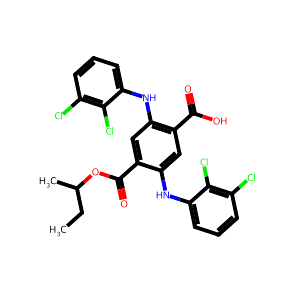 CCC(C)OC(=O)c1cc(Nc2cccc(Cl)c2Cl)c(C(=O)O)cc1Nc1cccc(Cl)c1Cl